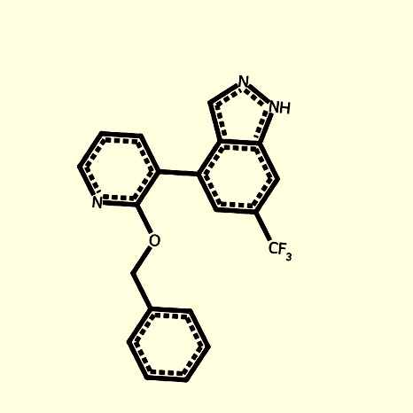 FC(F)(F)c1cc(-c2cccnc2OCc2ccccc2)c2cn[nH]c2c1